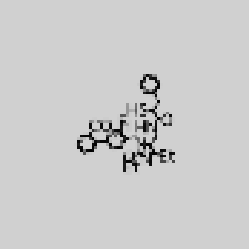 CCOc1nc(CC)c(CNC(=O)C(S)Cc2ccccc2)n1Cc1ccc(-c2ccccc2C(=O)O)cc1F